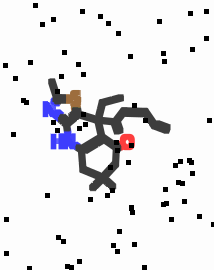 C=C/C=C\C(=C)C1(CC)C2=C(CC(C)(C)CC2=O)Nc2nc(C)sc21